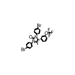 C[C@@H]1[C@@H](c2cccc(OC(F)(F)F)c2)N(c2ccc(Br)cc2)C(=O)N1c1ccc(Br)cc1